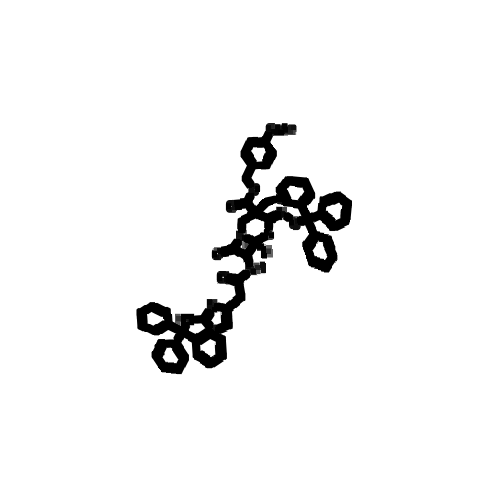 COc1ccc(COC(=O)C2(CCl)CN3C(=O)C(NC(=O)Cc4csc(NC(c5ccccc5)(c5ccccc5)c5ccccc5)n4)[C@H]3SC2=NOC(c2ccccc2)(c2ccccc2)c2ccccc2)cc1